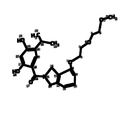 COCCOCCOc1cccc2c1CN(C(=O)c1cc(C(C)C)c(O)cc1O)C2